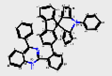 C1=CC2=C(c3ccccc3)N=C(c3ccccc3-c3ccc4c(c3)C3(c5ccccc5-4)c4ccccc4N(c4ccccc4)c4ccccc43)NC2C=C1